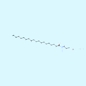 CCCCCOCCCNC(=O)CCCCCCCCCCCCCCCCCCC(=O)O